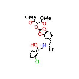 CCC(Cc1ccc2c(c1)O[C@H](OC(C(=O)OC)C(=O)OC)O2)NC[C@H](O)c1cccc(Cl)c1